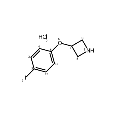 Cl.Ic1ccc(OC2CNC2)cc1